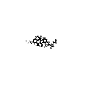 COc1cc(C2(NC(=O)c3cc(O[C@@H]([SiH3])[C@@H]4CCN4CCF)ccc3C)CC2)c2cccnc2c1